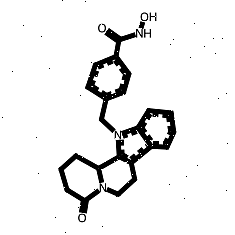 O=C(NO)c1ccc(Cn2c3c(c4ccccc42)CCN2C(=O)CCCC32)cc1